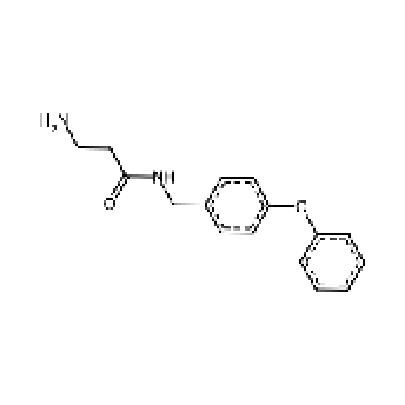 NCCC(=O)NCc1ccc(Oc2ccccc2)cc1